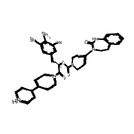 Nc1c(Br)cc(C[C@@H](OC(=O)N2CCC(N3CCc4ccccc4NC3=O)CC2)C(=O)N2CCC(C3CCNCC3)CC2)cc1Br